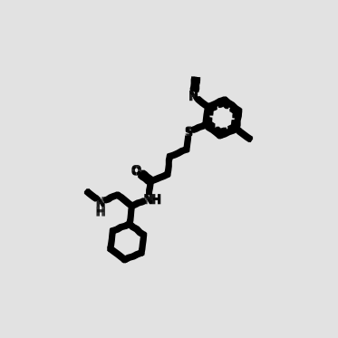 C=Nc1ccc(C)cc1SCCCC(=O)NC(CNC)C1CCCCC1